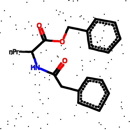 [CH2]CCC(NC(=O)Cc1ccccc1)C(=O)OCc1ccccc1